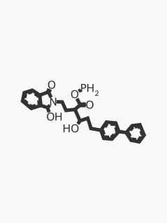 O=C(OP)C(CCN1C(=O)c2ccccc2C1O)C(O)CCc1ccc(-c2ccccc2)cc1